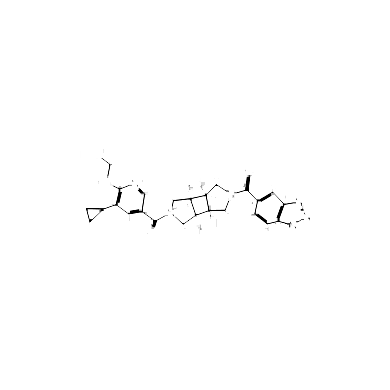 O=C(c1cnc(OCC(F)(F)F)c(C2CC2)c1)N1C[C@@H]2[C@H](C1)[C@H]1CN(C(=O)c3ccc4[nH]nnc4c3)C[C@@H]21